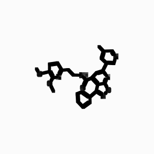 COc1ccc(CCNC(=O)c2cc(-c3cncc(C)c3)nc3onc(-c4ccccc4)c23)nc1OC